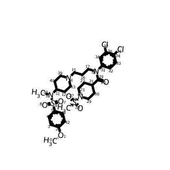 COc1ccc(S(=O)(=O)N(C)C2CCN(CCCN(C(=O)C3CCN(S(C)(=O)=O)CC3)c3ccc(Cl)c(Cl)c3)CC2)cc1